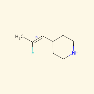 C/C(F)=C/C1CCNCC1